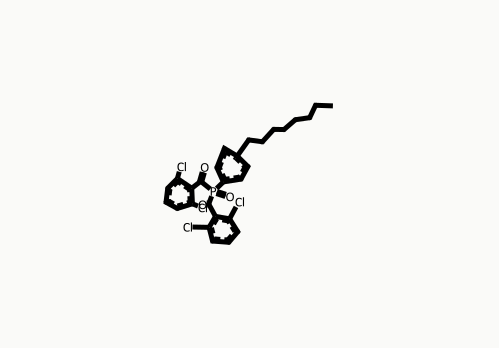 CCCCCCCCc1ccc(P(=O)(C(=O)c2c(Cl)cccc2Cl)C(=O)c2c(Cl)cccc2Cl)cc1